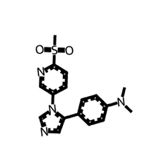 CN(C)c1ccc(-c2cncn2-c2ccc(S(C)(=O)=O)nc2)cc1